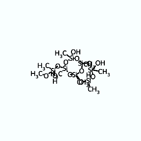 CO[Si](C)(O)O[Si]1(C)O[Si](C)(O)O[Si]2(C)O[Si](C)(O)O[SiH](C)O[Si](C)(O1)O2